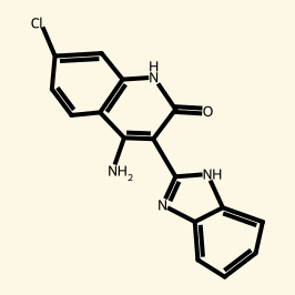 Nc1c(-c2nc3ccccc3[nH]2)c(=O)[nH]c2cc(Cl)ccc12